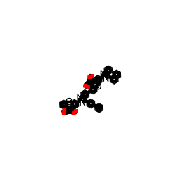 c1ccc(-c2ccc(-c3nc(-c4ccc5c(c4)Oc4ccccc4C54c5ccccc5-c5ccccc54)nc4ccc(-c5ccc6c(c5)C5(c7ccc(-c8nc(-c9cccc%10ccccc9%10)c9ccccc9n8)cc7O6)c6ccccc6-c6ccccc65)cc34)cc2)cc1